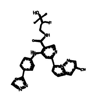 CC(C)(O)C(F)CNC(=O)c1cnc(-c2ccc3cc(C#N)cnn23)cc1Nc1ccc(-c2nncs2)cc1